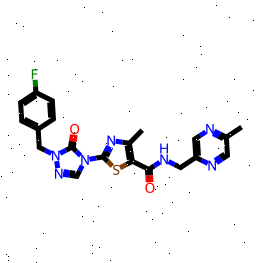 Cc1cnc(CNC(=O)c2sc(-n3cnn(Cc4ccc(F)cc4)c3=O)nc2C)cn1